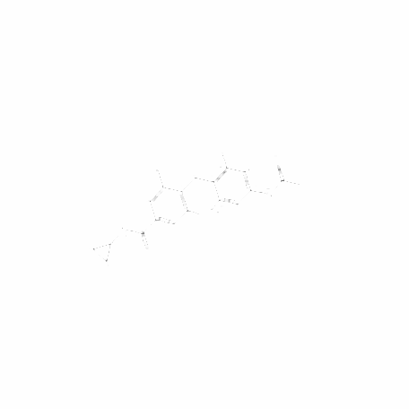 Cc1cc(C(=O)NC2CC2)cc(C)c1Cc1c(Cl)cc(NC(=O)C(=O)O)cc1Cl